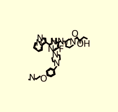 CC[C@@H](O)C(=O)N1CCC[C@@H](Nc2nc(-c3cnn4ccccc34)nc(N3CCN(Cc4ccc(OCCN(C)C)cc4)CC3)c2F)C1